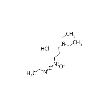 CCN=C=[N+]([O-])CCCN(CC)CC.Cl